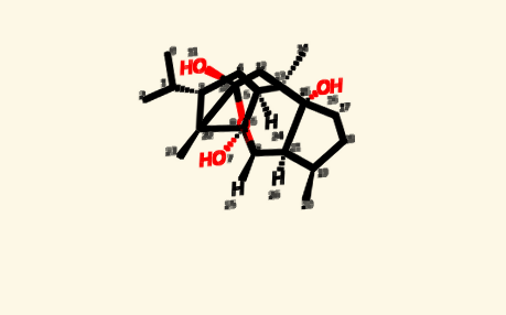 CC(C)[C@@H]1C[C@@H]2[C@@]3(O)[C@@H]4O[C@@](O)(C[C@@]2(C)[C@@]2(O)CC[C@@H](C)[C@@H]42)[C@@]13C